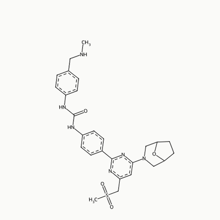 CNCc1ccc(NC(=O)Nc2ccc(-c3nc(CS(C)(=O)=O)cc(N4CC5CCC(C4)O5)n3)cc2)cc1